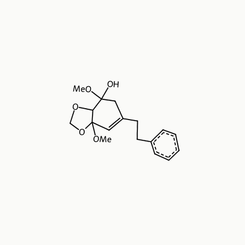 COC1(O)CC(CCc2ccccc2)=CC2(OC)OCOC12